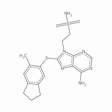 Cc1cc2c(cc1Sc1nc3c(N)ncnc3n1CCS(N)(=O)=O)CCC2